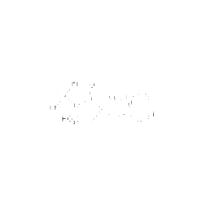 CCC(C)(CC)OC(=O)C(CC(=O)O)(Cc1ccccc1)C(=O)O